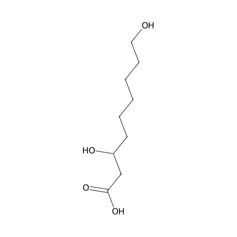 O=C(O)CC(O)CCCCCCO